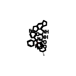 C[C@H]1COc2c([S@](=O)(=NC(c3ccccc3)(c3ccccc3)c3ccccc3)NC(=O)Nc3c4c(cc5c3C[C@@H](F)C5)CCC4)cnn2C1